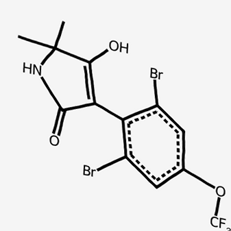 CC1(C)NC(=O)C(c2c(Br)cc(OC(F)(F)F)cc2Br)=C1O